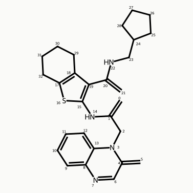 C=C(CN1C(=C)C=Nc2ccccc21)Nc1sc2c(c1C(=C)NCC1CCCC1)CCCC2